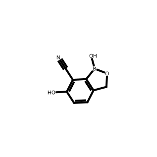 N#Cc1c(O)ccc2c1B(O)OC2